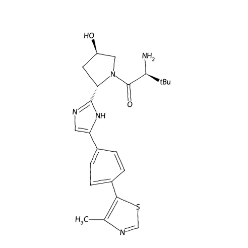 Cc1ncsc1-c1ccc(-c2cnc([C@@H]3C[C@@H](O)CN3C(=O)[C@@H](N)C(C)(C)C)[nH]2)cc1